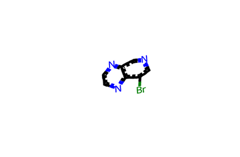 Brc1cncc2nccnc12